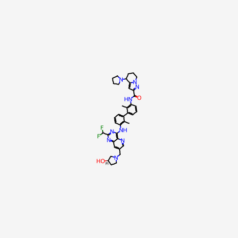 Cc1c(NC(=O)c2cc3n(n2)CCCC3N2CCCC2)cccc1-c1cccc(Nc2nc(C(F)F)nc3cc(CN4CC[C@@H](O)C4)cnc23)c1C